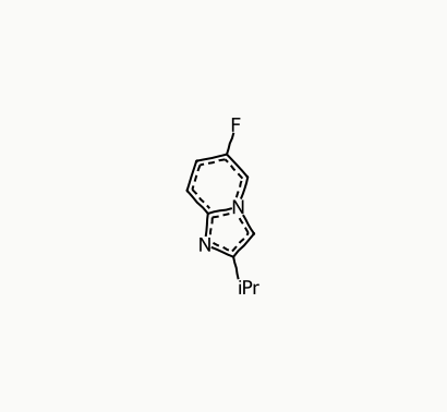 CC(C)c1cn2cc(F)ccc2n1